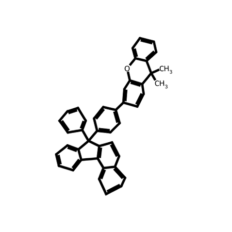 CC1(C)c2ccccc2Oc2cc(-c3ccc(C4(c5ccccc5)c5ccccc5-c5c4ccc4ccccc54)cc3)ccc21